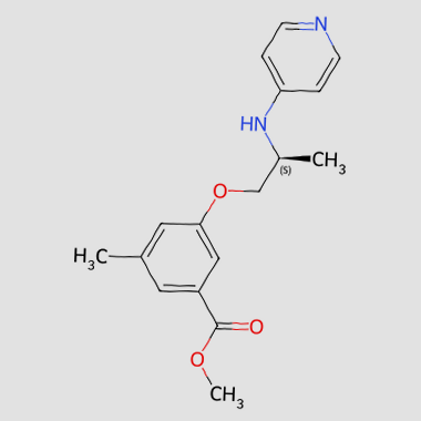 COC(=O)c1cc(C)cc(OC[C@H](C)Nc2ccncc2)c1